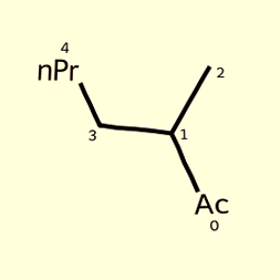 [CH2]C(=O)C(C)CCCC